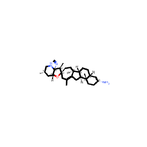 C=N[C@@]12NC[C@@H](C)C[C@H]1O[C@]1(CC[C@@H]3C(=C(C)C1)C[C@H]1[C@H]3CC[C@@H]3C[C@H](N)CC[C@@]31C)[C@@H]2C